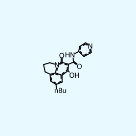 CCCCc1cc2c3c(c1)c(O)c(C(=O)Nc1ccncc1)c(=O)n3CCC2